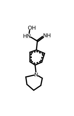 N=C(NO)c1ccc(N2CCCCC2)cc1